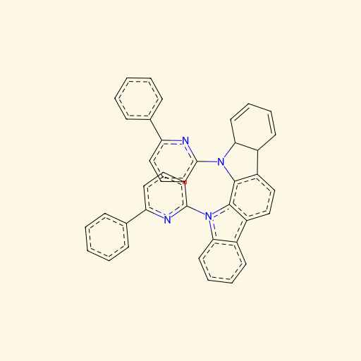 C1=CC2c3ccc4c5ccccc5n(-c5cccc(-c6ccccc6)n5)c4c3N(c3cccc(-c4ccccc4)n3)C2C=C1